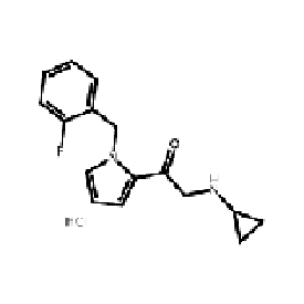 Cl.O=C(CNC1CC1)c1cccn1Cc1ccccc1F